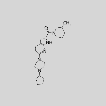 CC1CCCN(C(=O)c2cc3ccc(N4CCN(C5CCCC5)CC4)nc3[nH]2)C1